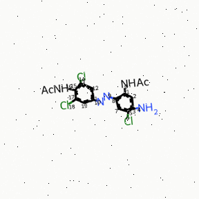 CC(=O)Nc1cc(N)c(Cl)cc1N=Nc1cc(Cl)c(NC(C)=O)c(Cl)c1